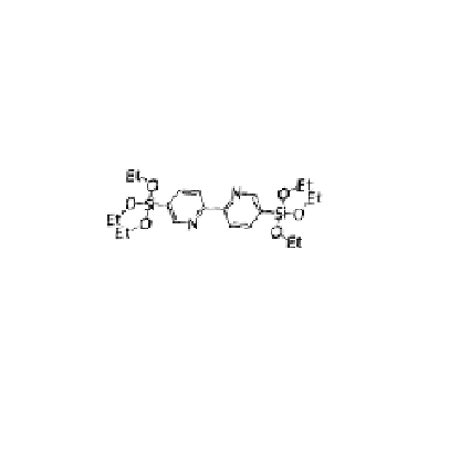 CCO[Si](OCC)(OCC)c1ccc(-c2ccc([Si](OCC)(OCC)OCC)cn2)nc1